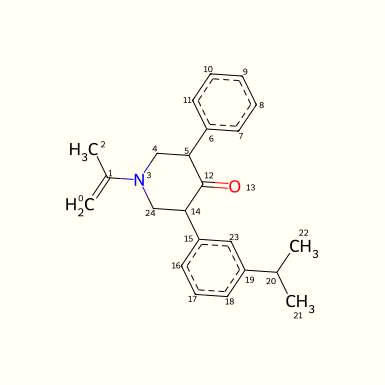 C=C(C)N1CC(c2ccccc2)C(=O)C(c2cccc(C(C)C)c2)C1